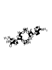 Nc1nc2c(ncn2[C@@H]2O[C@@H]3COP(O)(=S)O[C@H]4[C@H](F)[C@H](n5ccc6c(N)ncnc65)O[C@@H]4COP(O)(=S)O[C@@H]2C3)c(=O)[nH]1